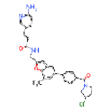 Nc1ccc(C=CC(=O)NCc2cc3cc(-c4ccc(C(=O)N5CCC(Cl)C5)cc4)cc(C(F)(F)F)c3o2)cn1